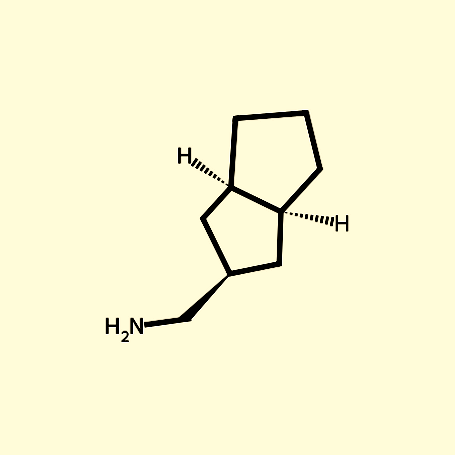 NC[C@H]1C[C@H]2CCC[C@H]2C1